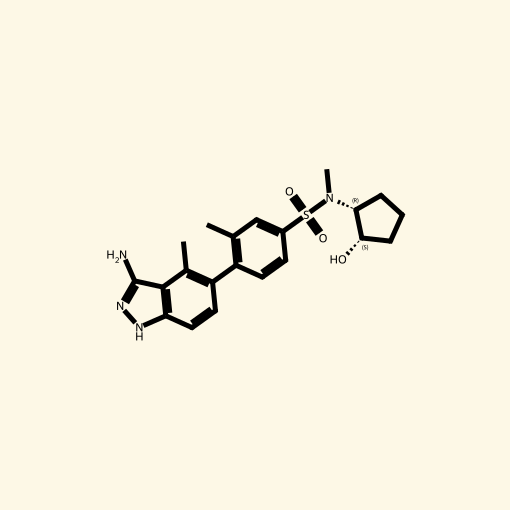 Cc1cc(S(=O)(=O)N(C)[C@@H]2CCC[C@@H]2O)ccc1-c1ccc2[nH]nc(N)c2c1C